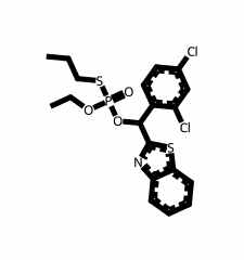 CCCSP(=O)(OCC)OC(c1nc2ccccc2s1)c1ccc(Cl)cc1Cl